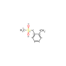 [CH2]c1ccccc1CS(C)(=O)=O